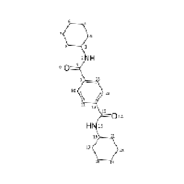 O=C(NC1CCCCC1)c1ccc(C(=O)NC2CCCCC2)cc1